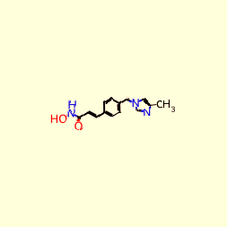 Cc1cn(Cc2ccc(/C=C/C(=O)NO)cc2)cn1